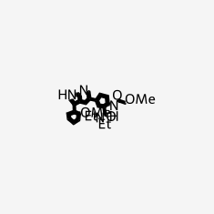 CCN(CC)C(=O)c1cc(-c2cnc3[nH]cc(-c4ccccc4OC)c3c2)ccc1NC(=O)COC